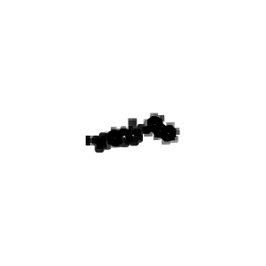 O=C(NC(Cc1ccc(OP(=O)(O)O)cc1)C(=O)O)OCc1cccc2c1Cc1ccccc1-2